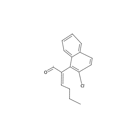 CCC/C=C(/[C]=O)c1c(Cl)ccc2ccccc12